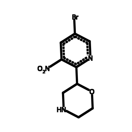 O=[N+]([O-])c1cc(Br)cnc1C1CNCCO1